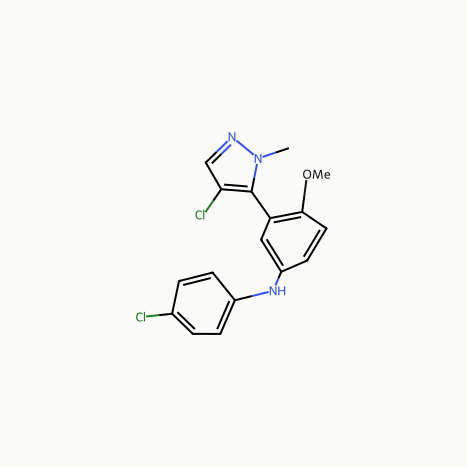 COc1ccc(Nc2ccc(Cl)cc2)cc1-c1c(Cl)cnn1C